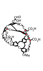 COc1cc2c3cc1OCCCCCOc1cc4c(cc1OCC(=O)O)Cc1cc5c(OC(O)C=O)cc1Cc1cc(c(OCC(=O)O)cc1C4)OCCCCCOc1cc(c(cc1OCC(=O)O)Cc1cc(c(OCC(=O)O)cc1C3)OCCCCCO5)C2